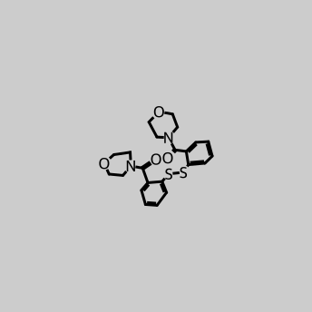 O=C(c1ccccc1SSc1ccccc1C(=O)N1CCOCC1)N1CCOCC1